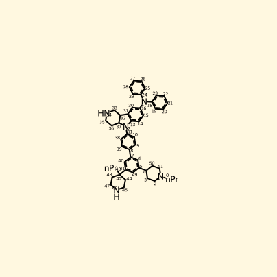 CCCN1CCC(c2cc(-c3ccc(N4c5ccc(N(c6ccccc6)c6ccccc6)cc5C5CNCCC54)cc3)cc(C3(CCC)CCNCC3)c2)CC1